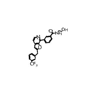 O=C(NCCO)c1cccc(-c2nccc3cc(Cc4cccc(C(F)(F)F)c4)oc23)c1